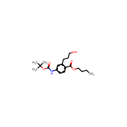 CCCCOC(=O)c1ccc(NC(=O)OC(C)(C)C)cc1CCCO